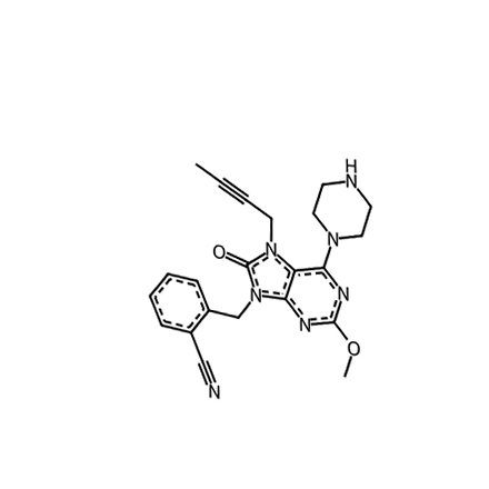 CC#CCn1c(=O)n(Cc2ccccc2C#N)c2nc(OC)nc(N3CCNCC3)c21